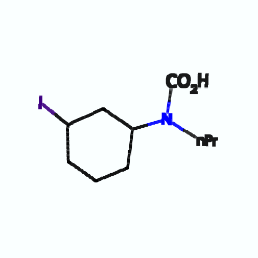 CCCN(C(=O)O)C1CCCC(I)C1